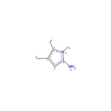 Cc1cc(N)n(C)c1C